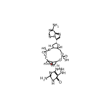 Nc1nc2c(c(=O)[nH]1)NNN2[C@@H]1S[C@@H]2COP(=O)(S)O[C@H]3C[C@H](c4cnc5c(N)ncnn45)O[C@@H]3COP(=O)(S)O[C@@H]1[C@@H]2O